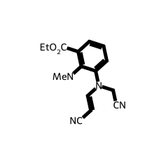 CCOC(=O)c1cccc(N(C=CC#N)CC#N)c1NC